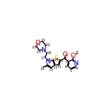 COc1ncccc1C(=O)c1cc2cc(C)n(CCN3CCOCC3)c2s1